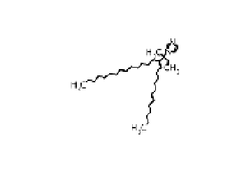 CCCCCCCCCCCCCCC(CCCCCCCCCCCC)C(C)(CC)n1ccnc1